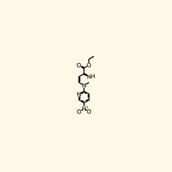 CCOC(=O)C(=N)/C=C\N(C)c1ccc([N+](=O)[O-])cn1